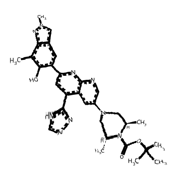 Cc1c(O)c(-c2cc(-c3nnc[nH]3)c3cc(N4C[C@@H](C)N(C(=O)OC(C)(C)C)[C@H](C)C4)cnc3n2)cc2cn(C)nc12